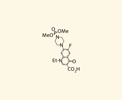 CCn1cc(C(=O)O)c(=O)c2cc(F)c(N3CCN(P(=O)(OC)OC)CC3)cc21